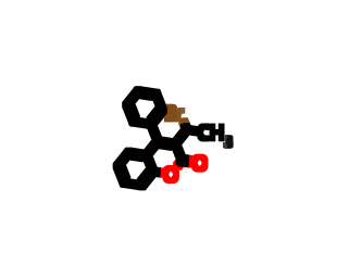 CC(Br)c1c(-c2ccccc2)c2ccccc2oc1=O